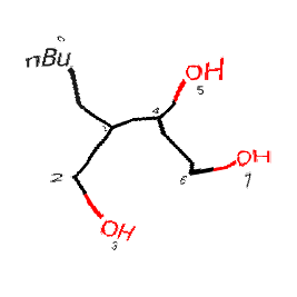 CCCCC(CO)C(O)CO